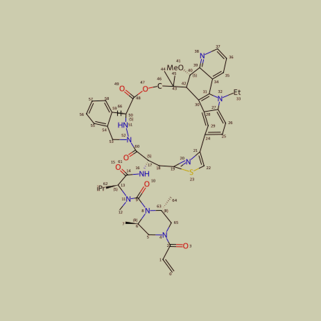 C=CC(=O)N1C[C@@H](C)N(C(=O)N(C)[C@H](C(=O)N[C@H]2Cc3nc(cs3)-c3ccc4c(c3)c3c(n4CC)-c4cccnc4[C@@H](OC)C3C(C)(C)COC(=O)[C@H]3NN(Cc4ccccc43)C2=O)C(C)C)[C@H](C)C1